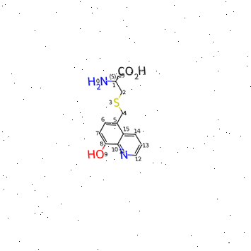 N[C@H](CSCc1ccc(O)c2ncccc12)C(=O)O